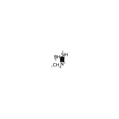 B.C.N#[SiH]